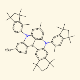 Cc1cc2c3c(c1)N(c1ccc4c(c1C)C(C)(C)CC4(C)C)c1cc(C(C)(C)C)ccc1B3c1cc3c(cc1N2c1cc2c(cc1C)C(C)(C)CC2(C)C)C(C)(C)CCC3(C)C